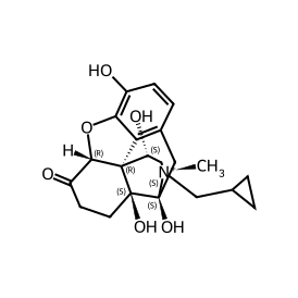 C[N@+]1(CC2CC2)C[C@@H](O)[C@]23c4c5ccc(O)c4O[C@H]2C(=O)CC[C@@]3(O)[C@@]1(O)C5